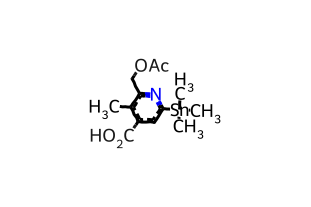 CC(=O)OCc1n[c]([Sn]([CH3])([CH3])[CH3])cc(C(=O)O)c1C